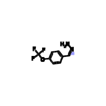 N/N=C\c1ccc(OC(F)(F)F)cc1